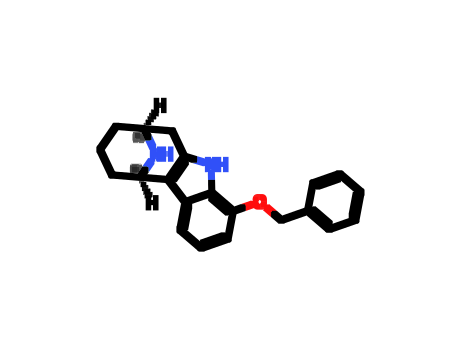 c1ccc(COc2cccc3c4c([nH]c23)C[C@@H]2CCC[C@H]4N2)cc1